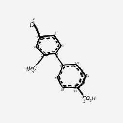 COc1cc(Cl)ccc1-c1ccc(C(=O)O)cc1